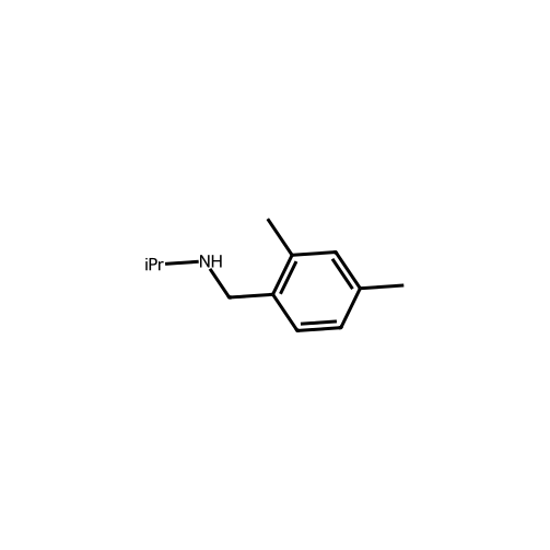 Cc1ccc(CNC(C)C)c(C)c1